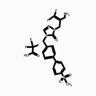 CS(=O)(=O)c1ccc(-c2ccc(Cn3cnn(CC(CN)=C(F)F)c3=O)cc2)cc1.O=C(O)C(F)(F)F